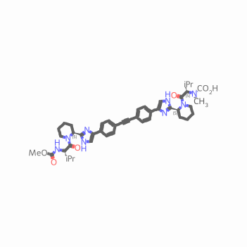 COC(=O)N[C@H](C(=O)N1CCCC[C@H]1c1nc(-c2ccc(C#Cc3ccc(-c4c[nH]c([C@@H]5CCCCN5C(=O)[C@H](C(C)C)N(C)C(=O)O)n4)cc3)cc2)c[nH]1)C(C)C